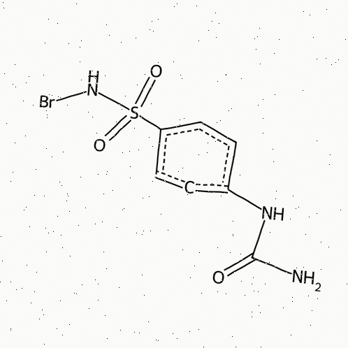 NC(=O)Nc1ccc(S(=O)(=O)NBr)cc1